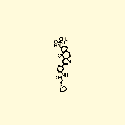 CS(=O)(=O)Nc1ccc2ccc3ncc(-c4cccc(NC(=O)CCN5CCCCC5)c4)cc3c(=O)c2c1